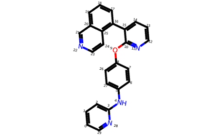 c1ccc(Nc2ccc(Oc3ncccc3-c3cccc4cnccc34)cc2)nc1